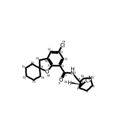 O=C(N[C@@H]1CN2CCC1CC2)c1cc(Cl)cc2c1OC1(CCCCC1)C2